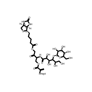 C=C(CCCCCCC)C(=O)OCC(NC(=O)C(O)C(O)C(O[C@@H]1OC(CO)[C@H](O)[C@H](O)C1O)C(O)CO)C(=O)COC(=O)CCCC[C@H]1SC[C@H]2NC(=O)N[C@H]21